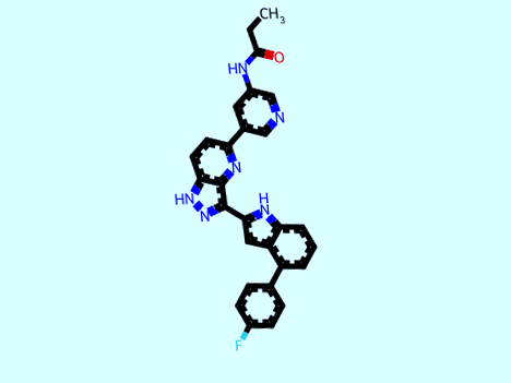 CCC(=O)Nc1cncc(-c2ccc3[nH]nc(-c4cc5c(-c6ccc(F)cc6)cccc5[nH]4)c3n2)c1